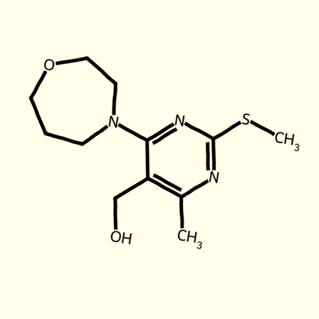 CSc1nc(C)c(CO)c(N2CCCOCC2)n1